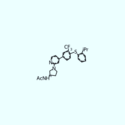 CC(=O)N[C@@H]1CCN(c2cc(-c3ccc(Sc4ccccc4C(C)C)c(C(F)(F)F)c3)ccn2)C1